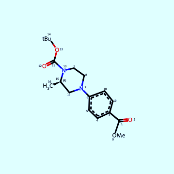 COC(=O)c1ccc(N2CCN(C(=O)OC(C)(C)C)[C@H](C)C2)cc1